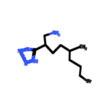 CC(C)CCCC(C)CCC(CN)c1nnn[nH]1